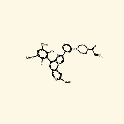 C=CC(=O)N1CCN(c2cccc(-c3cn4c(n3)c(-c3c(Cl)c(OC)cc(OC)c3Cl)cc3cnc(NC)cc34)c2)CC1